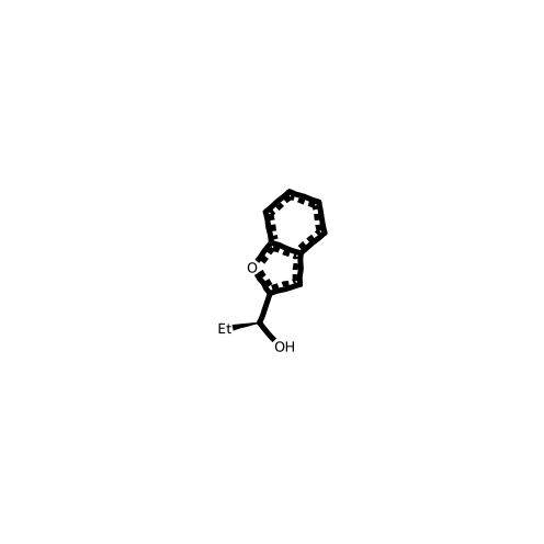 CC[C@H](O)c1cc2ccccc2o1